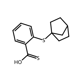 OC(=S)c1ccccc1SC12CCC(CC1)C2